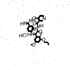 CCCOc1cc(OC)cc(C(Nc2ccc(C(=N)N)cc2)C(=O)NNC(=O)c2cnccc2Cl)c1F.Cl